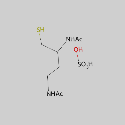 CC(=O)NCCC(CS)NC(C)=O.O=S(=O)(O)O